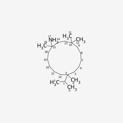 CC(C)C1(C)CCCCCC(C)(C)CCC(C)(N)CCCCC1